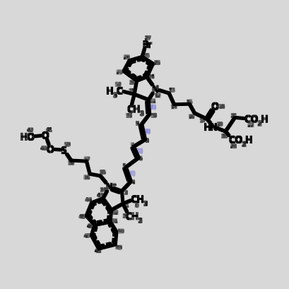 CC1(C)C(/C=C/C=C/C=C/C=C2/N(CCCCC(=O)NC(CC(=O)O)C(=O)O)c3cc(Br)ccc3C2(C)C)=[N+](CCCCSOOO)c2ccc3ccccc3c21